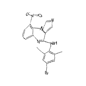 Cc1cc(Br)cc(C)c1Nc1nc2cccc([N+](=O)[O-])c2n2cncc12